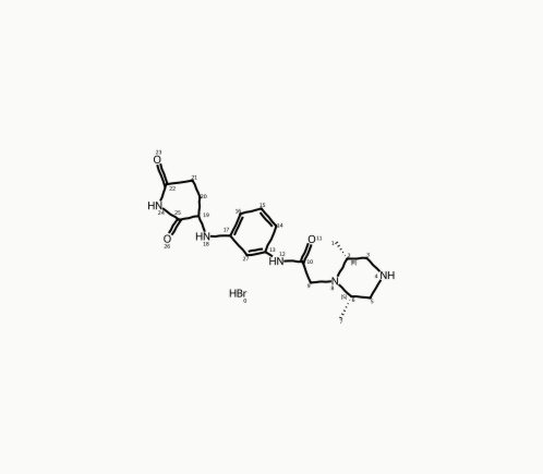 Br.C[C@@H]1CNC[C@H](C)N1CC(=O)Nc1cccc(NC2CCC(=O)NC2=O)c1